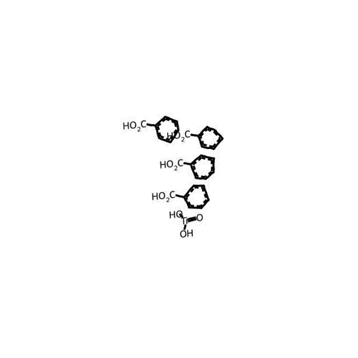 O=C(O)c1ccccc1.O=C(O)c1ccccc1.O=C(O)c1ccccc1.O=C(O)c1ccccc1.[O]=[Ti]([OH])[OH]